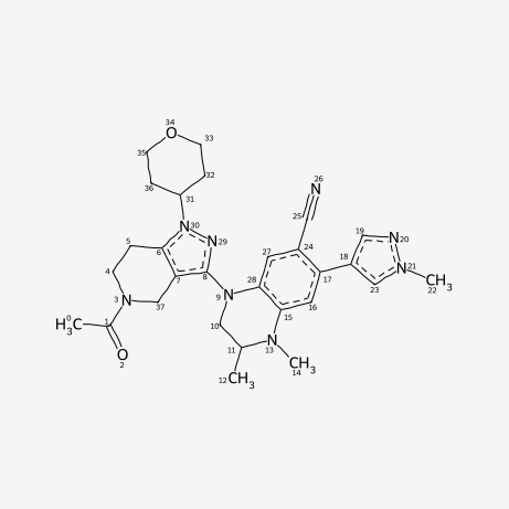 CC(=O)N1CCc2c(c(N3CC(C)N(C)c4cc(-c5cnn(C)c5)c(C#N)cc43)nn2C2CCOCC2)C1